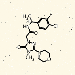 C[C@H](NC(=O)Cn1nc(N2CCOCC2)n(C)c1=O)c1ccc(Cl)c(F)c1